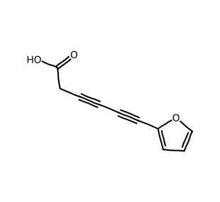 O=C(O)CC#CC#Cc1ccco1